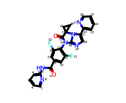 O=C(Nc1ccccn1)c1cc(F)c(N2C(=O)C3(CC3)n3c(-c4ccccn4)cnc32)c(F)c1